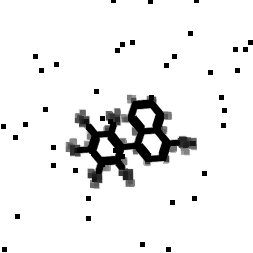 [2H]c1c([2H])c([2H])c(-c2ccc(O)c3ccccc23)c([2H])c1[2H]